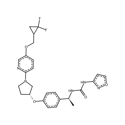 C[C@H](NC(=O)Nc1ccon1)c1ccc(O[C@@H]2CCN(c3ccc(OCC4CC4(F)F)cn3)C2)cc1